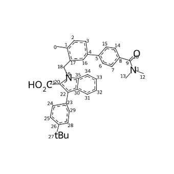 Cc1ccc(-c2ccc(C(=O)N(C)C)cc2)cc1Cn1c(C(=O)O)c(-c2ccc(C(C)(C)C)cc2)c2ccccc21